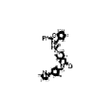 CC(C)C(=O)N[C@@H](CCN1CCC2(CC1)CC(=O)N(Cc1ccc(-n3cccn3)cc1)C2)c1ccccc1